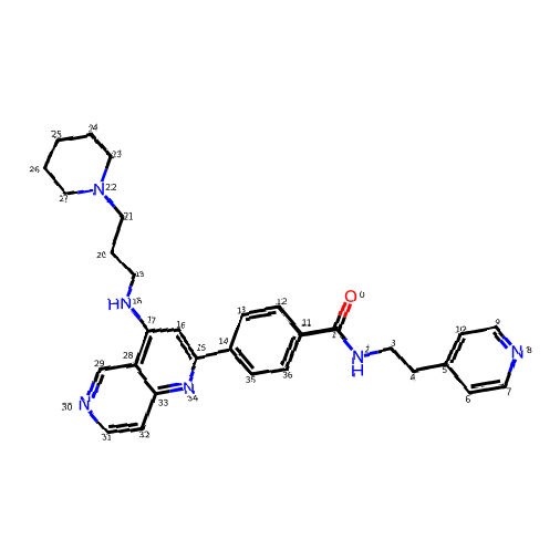 O=C(NCCc1ccncc1)c1ccc(-c2cc(NCCCN3CCCCC3)c3cnccc3n2)cc1